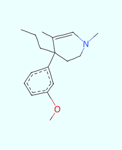 CCCC1(c2cccc(OC)c2)CCN(C)C=C1C